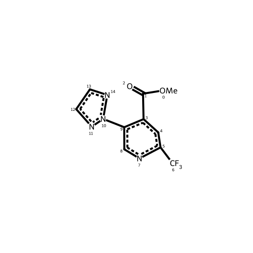 COC(=O)c1cc(C(F)(F)F)ncc1-n1nccn1